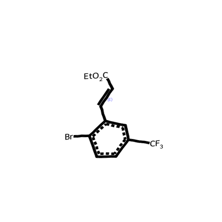 CCOC(=O)/C=C/c1cc(C(F)(F)F)ccc1Br